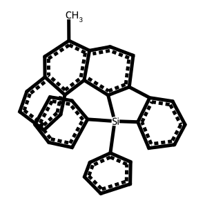 Cc1cc2ccccc2c2c3c(ccc12)-c1ccccc1[Si]3(c1ccccc1)c1ccccc1